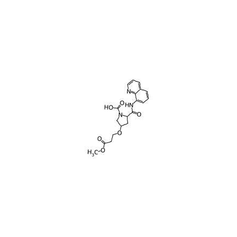 COC(=O)CCOC1CC(C(=O)Nc2cccc3cccnc23)N(C(=O)O)C1